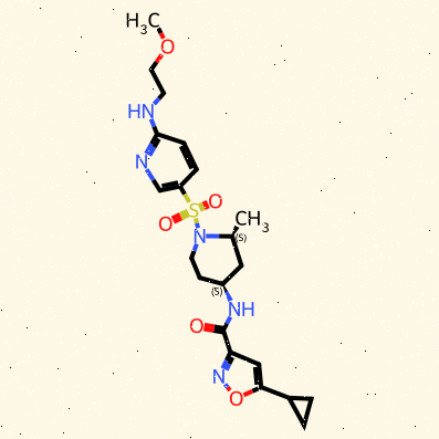 COCCNc1ccc(S(=O)(=O)N2CC[C@H](NC(=O)c3cc(C4CC4)on3)C[C@@H]2C)cn1